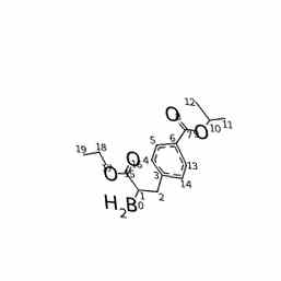 BC(Cc1ccc(C(=O)OC(C)C)cc1)C(=O)OCC